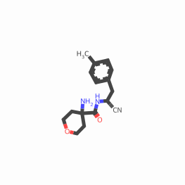 Cc1ccc(CC(C#N)NC(=O)C2(N)CCOCC2)cc1